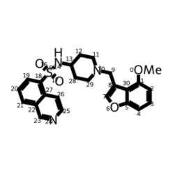 COc1cccc2occ(CN3CCC(NS(=O)(=O)c4cccc5cnccc45)CC3)c12